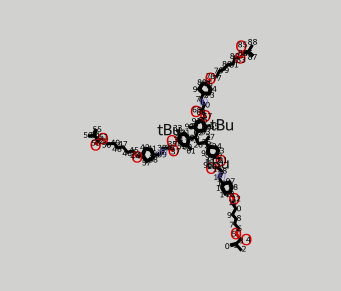 C=C(C)C(=O)OCCCCCCOc1ccc(/C=C/C(=O)Oc2ccc(C(C)CC(c3cc(C(C)(C)C)c(OC(=O)/C=C/c4ccc(OCCCCCCOC(=O)C(=C)C)cc4)cc3C)c3cc(C(C)(C)C)c(OC(=O)/C=C/c4ccc(OCCCCCCOC(=O)C(=C)C)cc4)cc3C)cc2C(C)(C)C)cc1